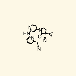 N#CCc1cccc(Nc2cc(N3CC[C@@](C#N)(C4CC4)C3=O)ccn2)n1